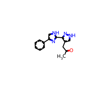 CC(=O)Cc1c[nH]nc1-c1nc(-c2ccccc2)c[nH]1